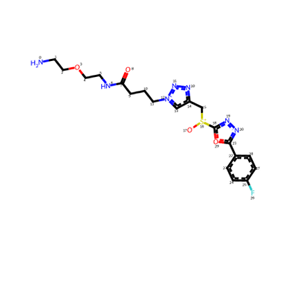 NCCOCCNC(=O)CCCn1cc(C[S+]([O-])c2nnc(-c3ccc(F)cc3)o2)nn1